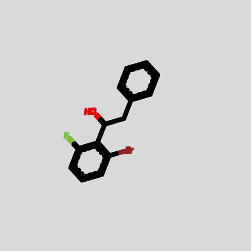 OC(Cc1ccccc1)c1c(F)cccc1Br